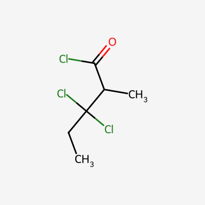 CCC(Cl)(Cl)C(C)C(=O)Cl